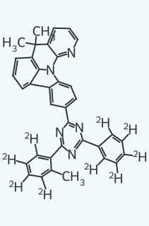 [2H]c1c([2H])c([2H])c(-c2nc(-c3ccc4c(c3)c3cccc5c3n4-c3ncccc3C5(C)C)nc(-c3c([2H])c([2H])c([2H])c([2H])c3C)n2)c([2H])c1[2H]